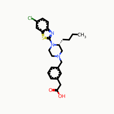 CCCC[C@@H]1CN(Cc2cccc(CC(=O)O)c2)CCN1c1nc2ccc(Cl)cc2s1